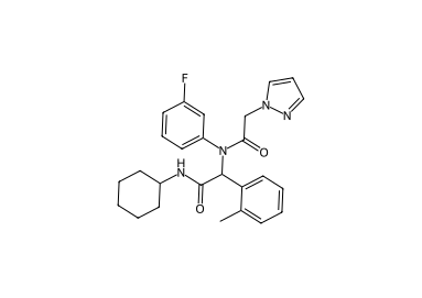 Cc1ccccc1C(C(=O)NC1CCCCC1)N(C(=O)Cn1cccn1)c1cccc(F)c1